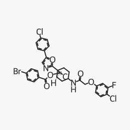 O=C(COc1ccc(Cl)c(F)c1)NC12CCC(c3ncc(-c4ccc(Cl)cc4)o3)(CC1)[C@H](OC(=O)c1ccc(Br)cc1)C2